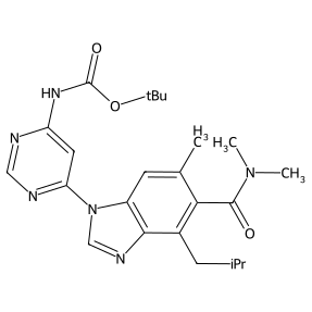 Cc1cc2c(ncn2-c2cc(NC(=O)OC(C)(C)C)ncn2)c(CC(C)C)c1C(=O)N(C)C